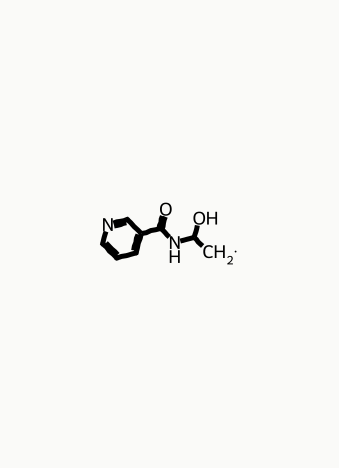 [CH2]C(O)NC(=O)c1cccnc1